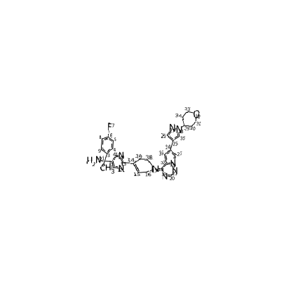 CC(N)(c1ccc(F)cc1)c1cnc(C2=CCN(c3ncnn4cc(-c5cnn(C6CCOCC6)c5)cc34)CC2)nc1